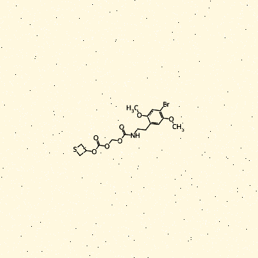 COc1cc(CCNC(=O)OCOC(=O)OC2CSC2)c(OC)cc1Br